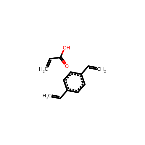 C=CC(=O)O.C=Cc1ccc(C=C)cc1